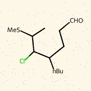 CCCCC(CC[C]=O)C(Cl)C(C)SC